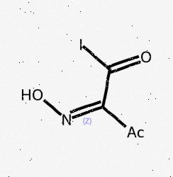 CC(=O)/C(=N/O)C(=O)I